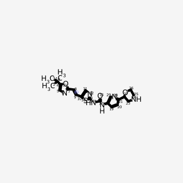 CC(C)(C)c1cnc(/C=C/c2cnc(NC(=O)Nc3ccc(C4CNCCO4)nc3)s2)o1